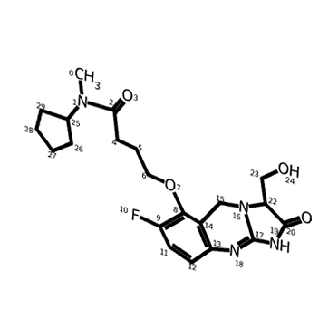 CN(C(=O)CCCOc1c(F)ccc2c1CN1C(=N2)NC(=O)C1CO)C1CCCC1